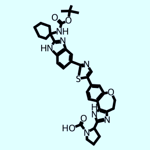 CC(C)(C)OC(=O)NC1(c2nc3cc(-c4ncc(-c5ccc6c(c5)OCCc5nc(C7CCCN7C(=O)O)[nH]c5-6)s4)ccc3[nH]2)CCCCC1